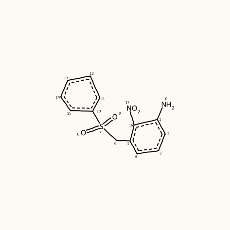 Nc1cccc(CS(=O)(=O)c2ccccc2)c1[N+](=O)[O-]